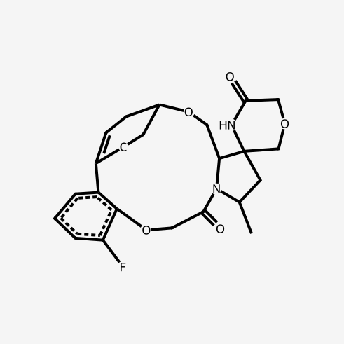 CC1CC2(COCC(=O)N2)C2COC3CC=C(CC3)c3cccc(F)c3OCC(=O)N12